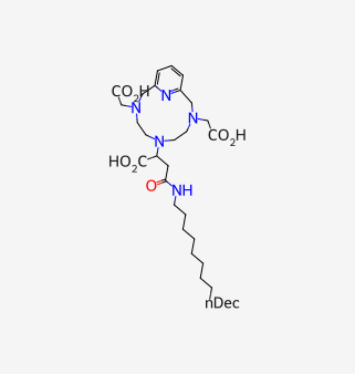 CCCCCCCCCCCCCCCCCCNC(=O)CC(C(=O)O)N1CCN(CC(=O)O)Cc2cccc(n2)CN(CC(=O)O)CC1